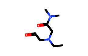 CCN(CC=O)CC(=O)N(C)C